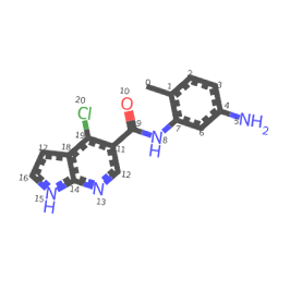 Cc1ccc(N)cc1NC(=O)c1cnc2[nH]ccc2c1Cl